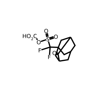 O=C(O)OS(=O)(=O)C(F)(F)C12CC3CC(C1)C(=O)C(C3)C2